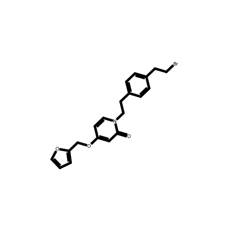 O=c1cc(OCc2ccco2)ccn1CCc1ccc(CCBr)cc1